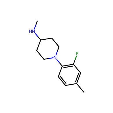 CNC1CCN(c2ccc(C)cc2F)CC1